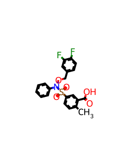 Cc1ccc(S(=O)(=O)N(OCc2ccc(F)c(F)c2)c2ccccc2)cc1C(=O)O